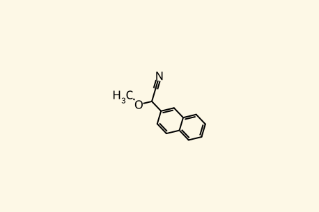 COC(C#N)c1ccc2ccccc2c1